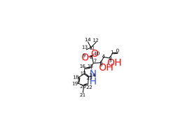 C=CC(O)CC(O)C(C(=O)OC(C)(C)C)c1cc2ccc(C)cc2[nH]1